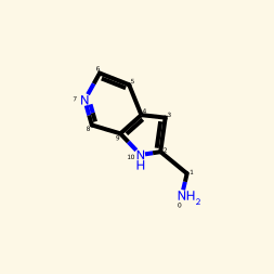 NCc1cc2ccncc2[nH]1